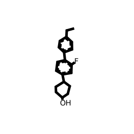 CCc1ccc(-c2ccc(C3CCC(O)CC3)cc2F)cc1